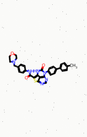 Cc1ccc(-c2ccc(N3C(=O)Nc4c(C(=O)Nc5ccc(CN6CCOCC6)cc5)sc5ncnc3c45)cc2)cc1